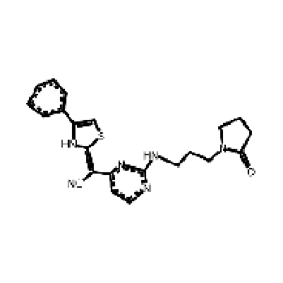 N#CC(=C1NC(c2ccccc2)=CS1)c1ccnc(NCCCN2CCCC2=O)n1